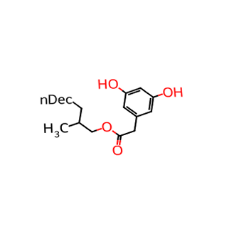 CCCCCCCCCCCC(C)COC(=O)Cc1cc(O)cc(O)c1